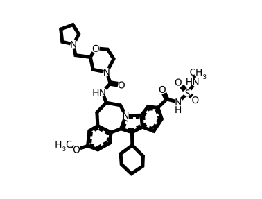 CNS(=O)(=O)NC(=O)c1ccc2c(C3CCCCC3)c3n(c2c1)CC(NC(=O)N1CCOC(CN2CCCC2)C1)Cc1cc(OC)ccc1-3